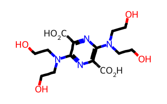 O=C(O)c1nc(N(CCO)CCO)c(C(=O)O)nc1N(CCO)CCO